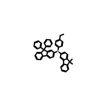 CCc1ccc(N(c2ccc3c(c2)-c2ccccc2C3(C)C)c2ccc3c(c2)C(c2ccccc2)(c2ccccc2)c2ccccc2-3)cc1